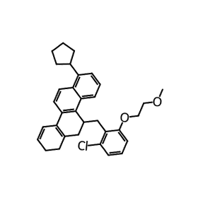 COCCOc1cccc(Cl)c1CC1CC2=C(C=CCC2)c2ccc3c(C4CCCC4)cccc3c21